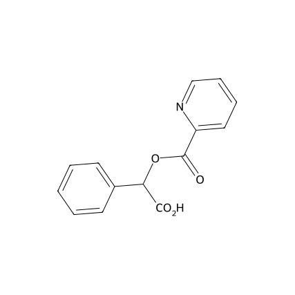 O=C(OC(C(=O)O)c1ccccc1)c1ccccn1